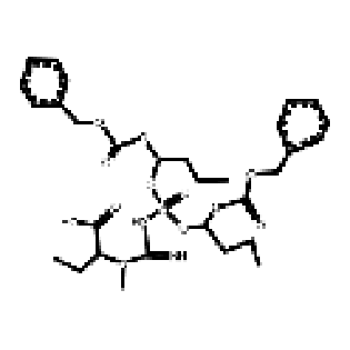 CCCC(OC(=O)OCc1ccccc1)OP(=O)(NC(=N)N(C)C(CC)C(=O)O)OC(CCC)OC(=O)OCc1ccccc1